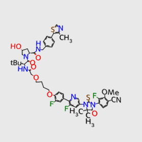 COc1c(C#N)ccc(N2C(=O)C(C)(C)N(c3cnc(-c4ccc(OCCCCOCC(=O)N[C@H](C(=O)N5C[C@H](O)C[C@H]5C(=O)NCc5ccc(-c6scnc6C)cc5)C(C)(C)C)c(F)c4)c(F)c3)C2=S)c1F